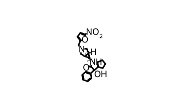 O=C(N[C@H]1C2CN(Cc3ccc([N+](=O)[O-])o3)C[C@@H]21)C(O)(c1ccccc1)C1CCCC1